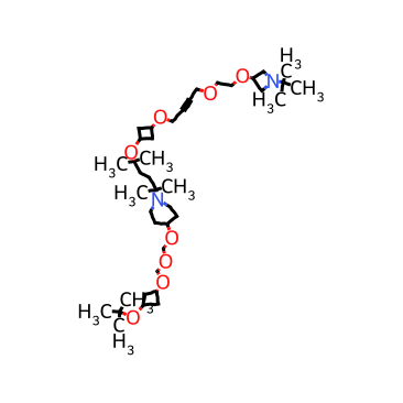 CC(C)(C)OC1CC(OCOCOC2CCN(C(C)(C)CCC(C)(C)OC3CC(OCC#CCOCCOC4CN(C(C)(C)C)C4)C3)CC2)C1